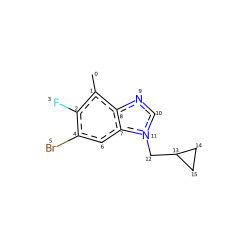 Cc1c(F)c(Br)cc2c1ncn2CC1CC1